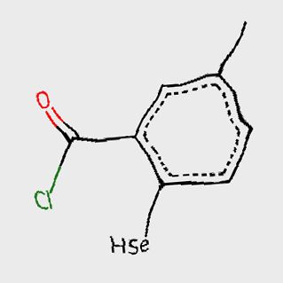 Cc1ccc([SeH])c(C(=O)Cl)c1